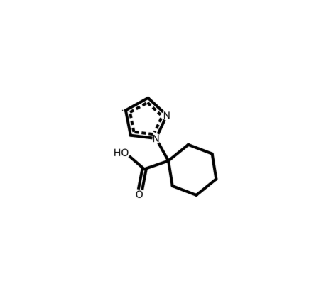 O=C(O)C1(n2c[c]cn2)CCCCC1